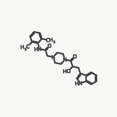 Cc1cccc(C)c1NC(=O)CN1CCN(C(=O)C(O)Cc2c[nH]c3ccccc23)CC1